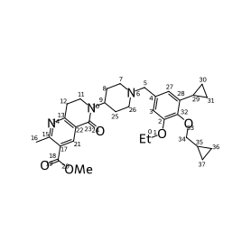 CCOc1cc(CN2CCC(N3CCc4nc(C)c(C(=O)OC)cc4C3=O)CC2)cc(C2CC2)c1OCC1CC1